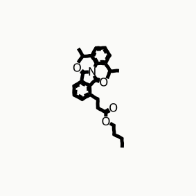 CCCCOC(=O)CCc1cccc2c1C(=O)N(c1c(C(C)C)cccc1C(C)C)C2=O